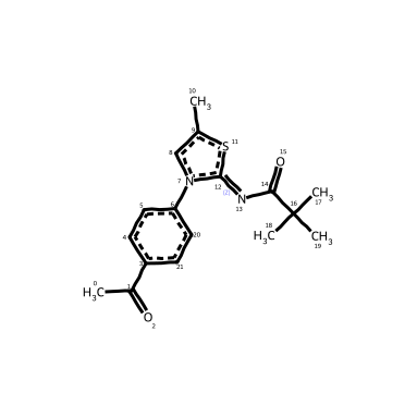 CC(=O)c1ccc(-n2cc(C)s/c2=N\C(=O)C(C)(C)C)cc1